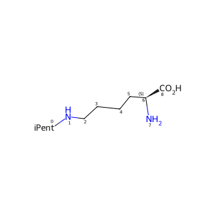 CCCC(C)NCCCC[C@H](N)C(=O)O